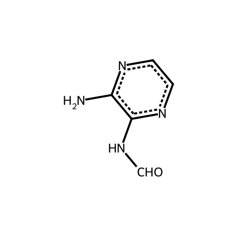 Nc1nccnc1NC=O